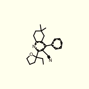 CCC1(c2nc3c(c(-c4ccccc4)c2C#N)CC(C)(C)CC3)CCCO1